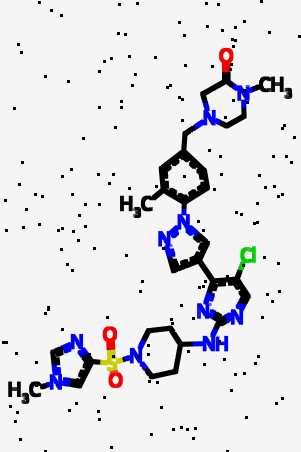 Cc1cc(CN2CCN(C)C(=O)C2)ccc1-n1cc(-c2nc(NC3CCN(S(=O)(=O)c4cn(C)cn4)CC3)ncc2Cl)cn1